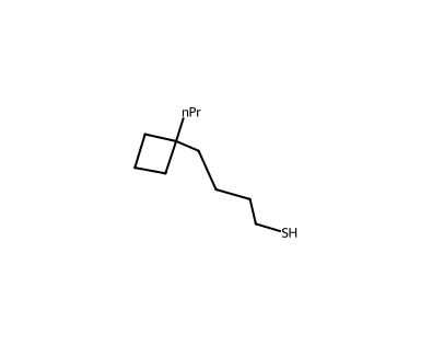 CCCC1(CCCCS)CCC1